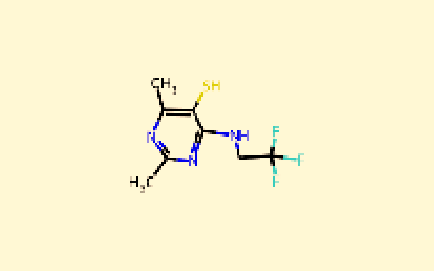 Cc1nc(C)c(S)c(NCC(F)(F)F)n1